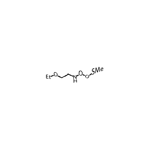 CCOCCNOOSC